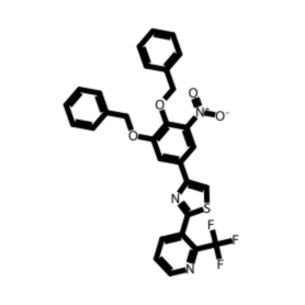 O=[N+]([O-])c1cc(-c2csc(-c3cccnc3C(F)(F)F)n2)cc(OCc2ccccc2)c1OCc1ccccc1